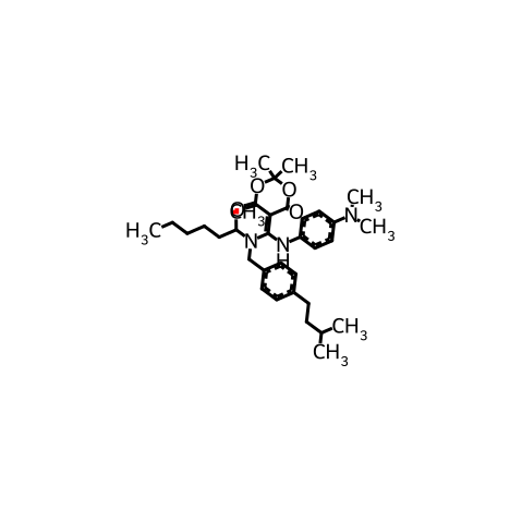 CCCCCC(C)N(Cc1ccc(CCC(C)C)cc1)C(Nc1ccc(N(C)C)cc1)=C1C(=O)OC(C)(C)OC1=O